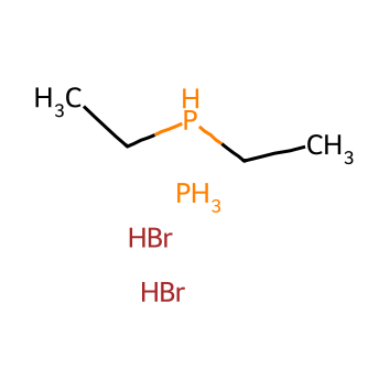 Br.Br.CCPCC.P